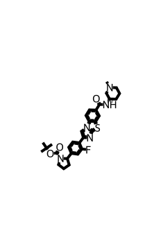 CN1CCC[C@@H](NC(=O)c2ccc3c(c2)sc2nc(-c4ccc(C5CCCN5C(=O)OC(C)(C)C)cc4F)cn23)C1